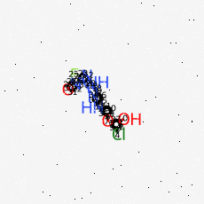 Oc1cc(Cl)cc(Oc2cccc(Nc3ccc(/C=N/Nc4ncc(F)c(N5CCOCC5)n4)nc3)c2)c1